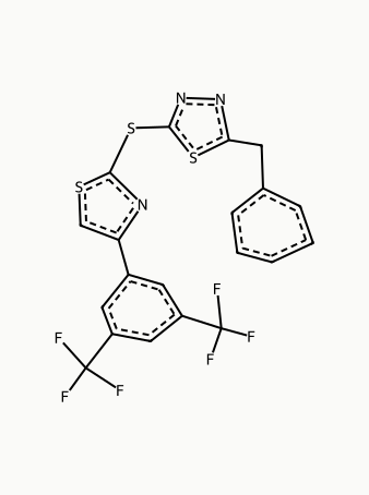 FC(F)(F)c1cc(-c2csc(Sc3nnc(Cc4ccccc4)s3)n2)cc(C(F)(F)F)c1